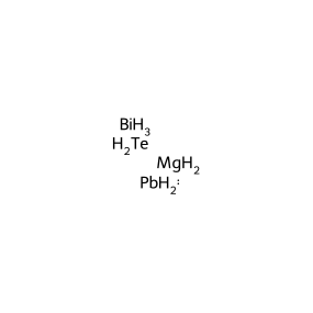 [BiH3].[MgH2].[PbH2].[TeH2]